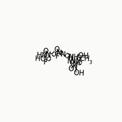 CC(C)(O)c1cccc(-n2c3nc(Nc4ccc(N5CCN(C(=O)c6cc(CN7C(=O)NC(O)c8c(F)cccc87)ccc6F)CC5)cc4)ncc3c(=O)n2CCO)n1